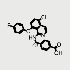 C[C@H](Nc1nccc2c(Cl)ccc(Oc3ccc(F)cc3)c12)c1ccc(C(=O)O)cc1